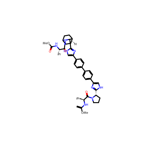 C=C(N[C@H](C(=O)N1CCC[C@H]1c1nc(-c2ccc(-c3ccc(-c4c[nH]c([C@@H]5C6CCC(CC6)N5C(=O)[C@@H](NC(=O)OC)C(C)C)n4)cc3)cc2)c[nH]1)C(C)C)OC